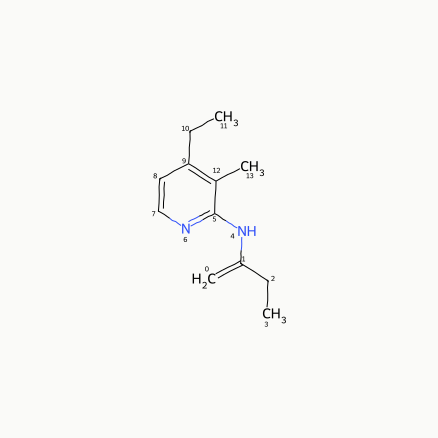 C=C(CC)Nc1nccc(CC)c1C